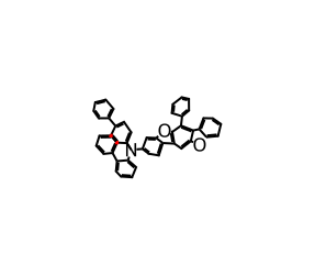 c1ccc(-c2ccc(N(c3ccc4c(c3)oc3c(-c5ccccc5)c5c(cc34)oc3ccccc35)c3ccccc3-c3ccccc3)cc2)cc1